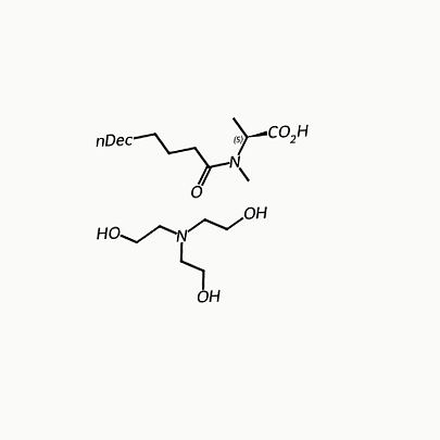 CCCCCCCCCCCCCC(=O)N(C)[C@@H](C)C(=O)O.OCCN(CCO)CCO